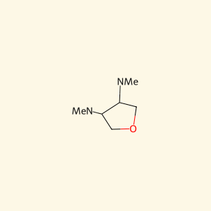 CNC1COCC1NC